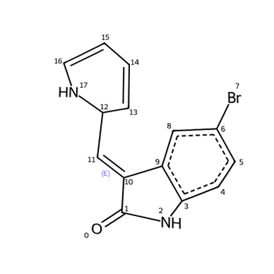 O=C1Nc2ccc(Br)cc2/C1=C\C1C=CC=CN1